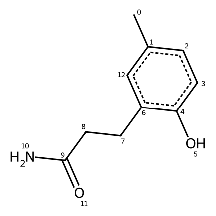 Cc1ccc(O)c(CCC(N)=O)c1